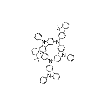 CC1(C)C2=C(CCC=C2)c2ccc(N(c3ccc4c(c3)c3ccccc3n4-c3ccccc3)c3ccc4c(c3)c3cc(N(c5ccc6c(c5)C(C)(C)c5ccccc5-6)c5ccc6c(c5)c5ccccc5n6-c5ccccc5)ccc3n4-c3ccccc3)cc21